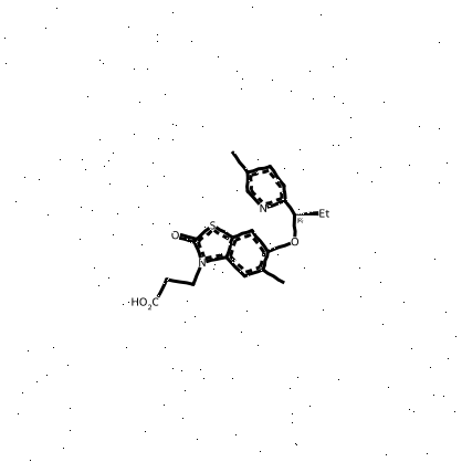 CC[C@@H](Oc1cc2sc(=O)n(CCC(=O)O)c2cc1C)c1ccc(C)cn1